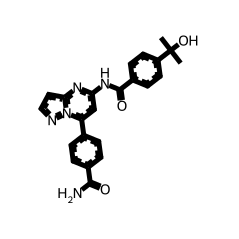 CC(C)(O)c1ccc(C(=O)Nc2cc(-c3ccc(C(N)=O)cc3)n3nccc3n2)cc1